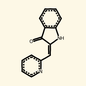 O=C1C(=Cc2ccccn2)Nc2ccccc21